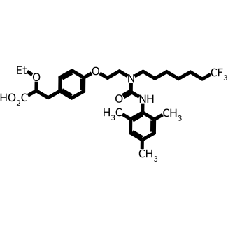 CCOC(Cc1ccc(OCCN(CCCCCCC(F)(F)F)C(=O)Nc2c(C)cc(C)cc2C)cc1)C(=O)O